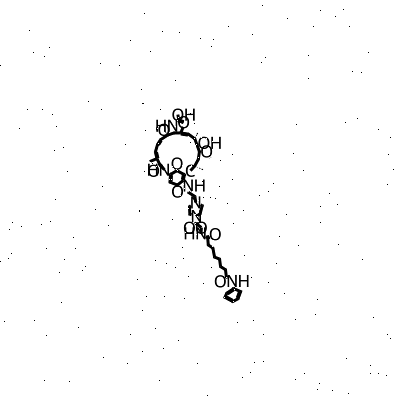 CO[C@H]1C=CC=C(C)C(=O)NC2=CC(=O)C(NCCN3CCN(C(=O)ONC(=O)CCCCCCC(=O)Nc4ccccc4)CC3)=C(C[C@@H](C)C[C@H](OC)[C@@H](O)[C@@H](C)C=C(C)[C@@H]1NC(=O)O)C2=O